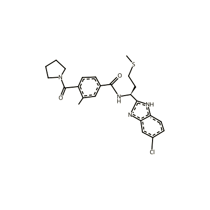 CSCC[C@H](NC(=O)c1ccc(C(=O)N2CCCC2)c(C)c1)c1nc2cc(Cl)ccc2[nH]1